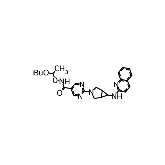 CC(C)COC(C)ONC(=O)c1cnc(N2CC3C(C2)C3Nc2ccc3ccccc3n2)nc1